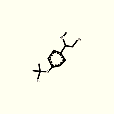 CCC(C)(C)Oc1ccc(C(CC(C)C)PC)cc1